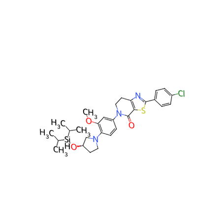 COc1cc(N2CCc3nc(-c4ccc(Cl)cc4)sc3C2=O)ccc1N1CC[C@@H](O[SiH](C(C)C)C(C)C)C1